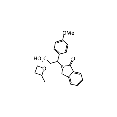 CC1CCO1.COc1ccc(C(CC(=O)O)N2Cc3ccccc3C2=O)cc1